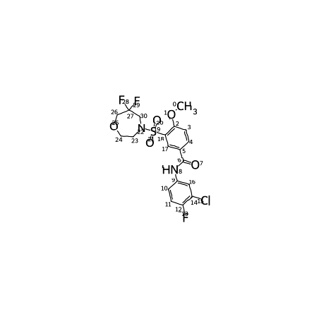 COc1ccc(C(=O)Nc2ccc(F)c(Cl)c2)cc1S(=O)(=O)N1CCOCC(F)(F)C1